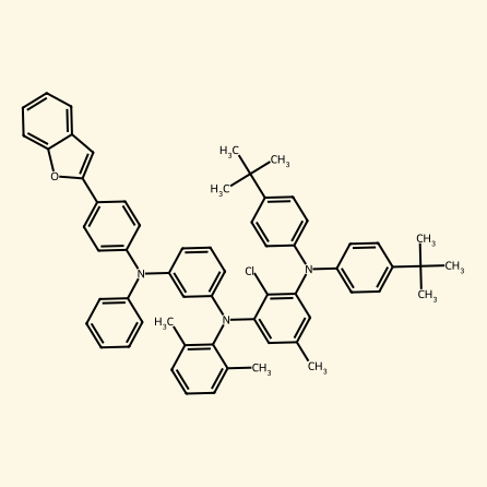 Cc1cc(N(c2ccc(C(C)(C)C)cc2)c2ccc(C(C)(C)C)cc2)c(Cl)c(N(c2cccc(N(c3ccccc3)c3ccc(-c4cc5ccccc5o4)cc3)c2)c2c(C)cccc2C)c1